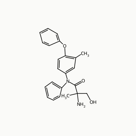 Cc1cc(N(C(=O)C(C)(N)CO)c2ccccc2)ccc1Oc1ccccc1